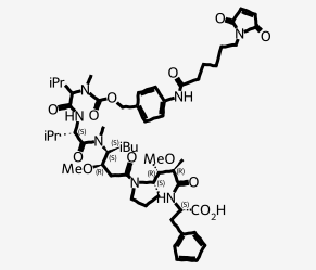 CC[C@H](C)[C@@H]([C@@H](CC(=O)N1CCC[C@H]1[C@H](OC)[C@@H](C)C(=O)N[C@@H](Cc1ccccc1)C(=O)O)OC)N(C)C(=O)[C@@H](NC(=O)C(C(C)C)N(C)C(=O)OCc1ccc(NC(=O)CCCCCN2C(=O)C=CC2=O)cc1)C(C)C